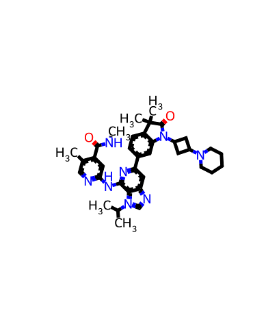 CNC(=O)c1cc(Nc2nc(-c3ccc4c(c3)N(C3CC(N5CCCCC5)C3)C(=O)C4(C)C)cc3ncn(C(C)C)c23)ncc1C